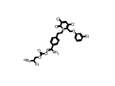 CCCCC(CC)COC(=O)O/N=C(\N)c1ccc(CCn2c(COc3cccc(CC)c3)c(Cl)cc(Cl)c2=O)cc1